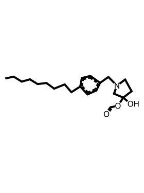 CCCCCCCCCc1ccc(CN2CCC(O)(OC=O)C2)cc1